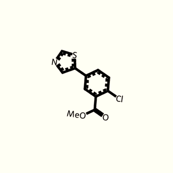 COC(=O)c1cc(-c2cncs2)ccc1Cl